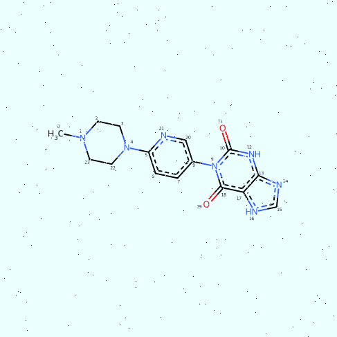 CN1CCN(c2ccc(-n3c(=O)[nH]c4nc[nH]c4c3=O)cn2)CC1